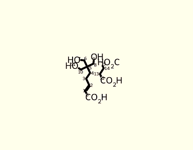 O=C(O)C=CCCC(CO)(CO)CO.O=C(O)CCC(=O)O